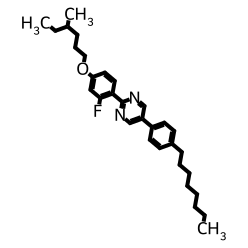 CCCCCCCCc1ccc(-c2cnc(-c3ccc(OCCCC(C)CC)cc3F)nc2)cc1